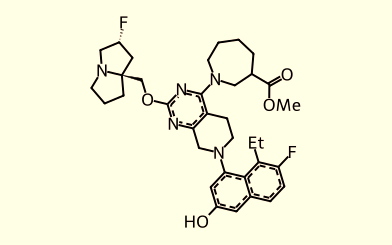 CCc1c(F)ccc2cc(O)cc(N3CCc4c(nc(OC[C@@]56CCCN5C[C@H](F)C6)nc4N4CCCCC(C(=O)OC)C4)C3)c12